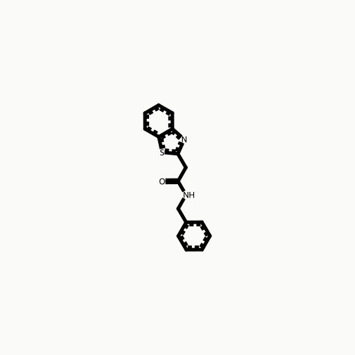 O=C(Cc1nc2ccccc2s1)NCc1ccccc1